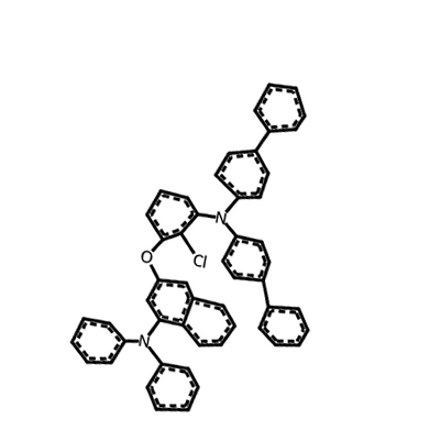 Clc1c(Oc2cc(N(c3ccccc3)c3ccccc3)c3ccccc3c2)cccc1N(c1ccc(-c2ccccc2)cc1)c1ccc(-c2ccccc2)cc1